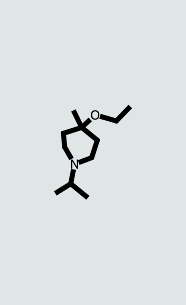 CCOC1(C)CCN(C(C)C)CC1